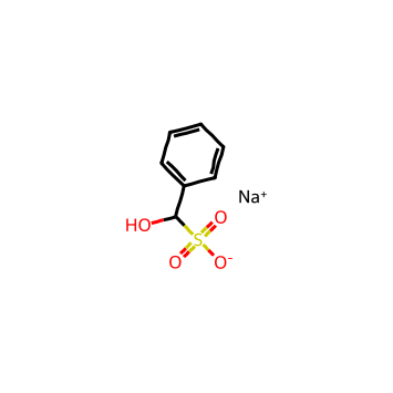 O=S(=O)([O-])C(O)c1ccccc1.[Na+]